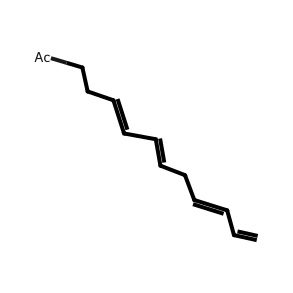 C=CC=CCC=CC=CCCC(C)=O